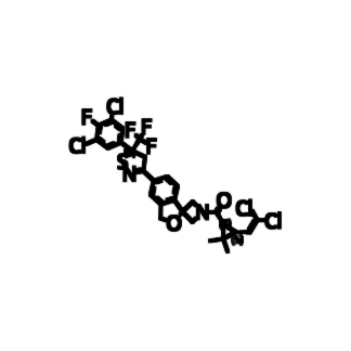 CC1(C)[C@H](C=C(Cl)Cl)[C@@H]1C(=O)N1CC2(C1)OCc1cc(C3=NS[C@@](c4cc(Cl)c(F)c(Cl)c4)(C(F)(F)F)C3)ccc12